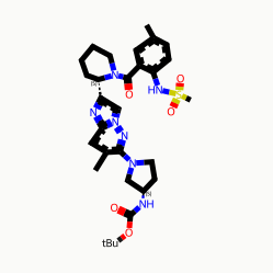 Cc1ccc(NS(C)(=O)=O)c(C(=O)N2CCCC[C@H]2c2cn3nc(N4CC[C@H](NC(=O)OC(C)(C)C)C4)c(C)cc3n2)c1